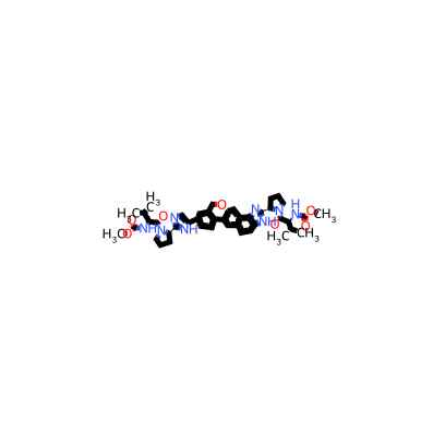 COC(=O)NC(C(=O)N1CCC[C@H]1c1ncc(-c2ccc3c(c2)COc2cc4c(ccc5[nH]c([C@@H]6CCCN6C(=O)[C@@H](NC(=O)OC)C(C)C)nc54)cc2-3)[nH]1)C(C)C